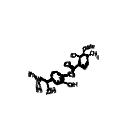 COc1c(C)ccc(C(=O)Oc2ccc(C(O)CNC(C)C)cc2O)c1Cl